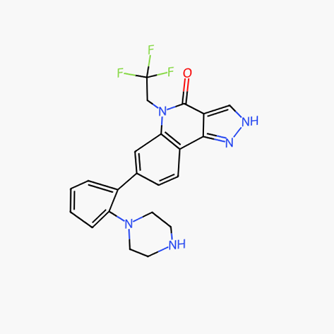 O=c1c2c[nH]nc2c2ccc(-c3ccccc3N3CCNCC3)cc2n1CC(F)(F)F